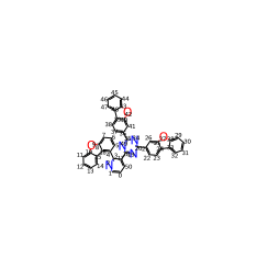 c1cnc(-c2cccc3oc4ccccc4c23)c(-c2nc(-c3ccc4c(c3)oc3ccccc34)nc(-c3ccc4c(c3)oc3ccccc34)n2)c1